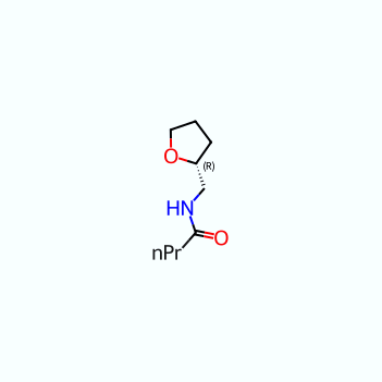 CCCC(=O)NC[C@H]1CCCO1